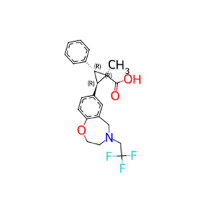 C[C@@]1(C(=O)O)[C@@H](c2ccccc2)[C@@H]1c1ccc2c(c1)CN(CC(F)(F)F)CCO2